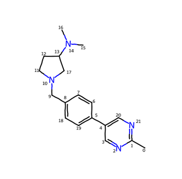 Cc1ncc(-c2ccc(CN3CCC(N(C)C)C3)cc2)cn1